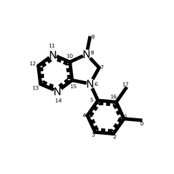 Cc1cccc(N2CN(C)c3nccnc32)c1C